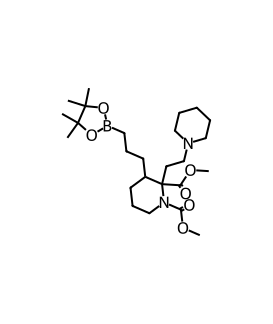 COC(=O)N1CCCC(CCCB2OC(C)(C)C(C)(C)O2)C1(CCN1CCCCC1)C(=O)OC